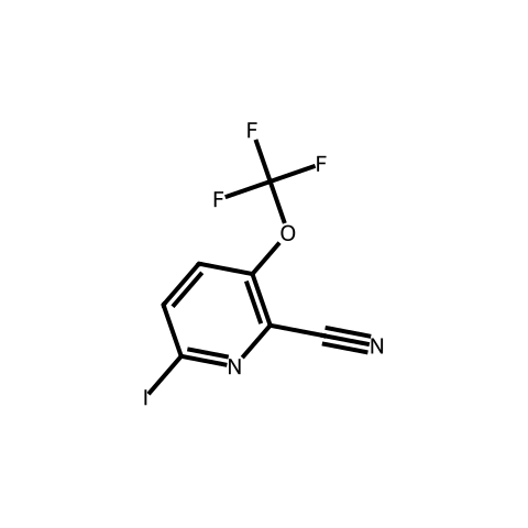 N#Cc1nc(I)ccc1OC(F)(F)F